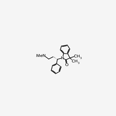 CNCC[C@@H](c1ccccc1)N1C(=O)C(C)(C)c2ccccc21